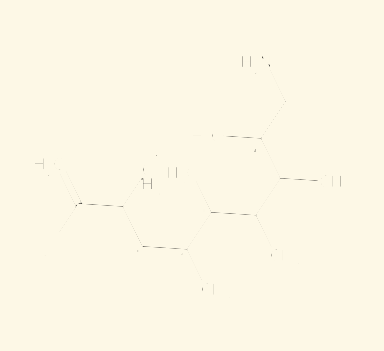 C=C(CC)C(C)CC(C)C(C)C(C)C(C)C(C)CN